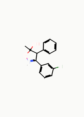 CC1(O)ON=C(c2cccc(Cl)c2)C1c1ccccc1